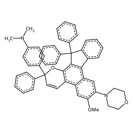 COc1cc2c3c(c4c(c2cc1N1CCOCC1)-c1ccccc1C4(c1ccccc1)c1ccccc1)OC(c1ccccc1)(c1ccc(N(C)C)cc1)C=C3